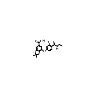 CCNC(=O)c1ccc(Oc2cc(C(=O)O)cc3c2CC(C)(C)O3)cc1F